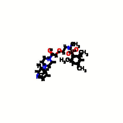 Cc1cc(C)c(S(=O)(=O)N(C)CCOCC(=O)N2CCN([C@H]3CN4CCC3CC4)CC2)c(C)c1